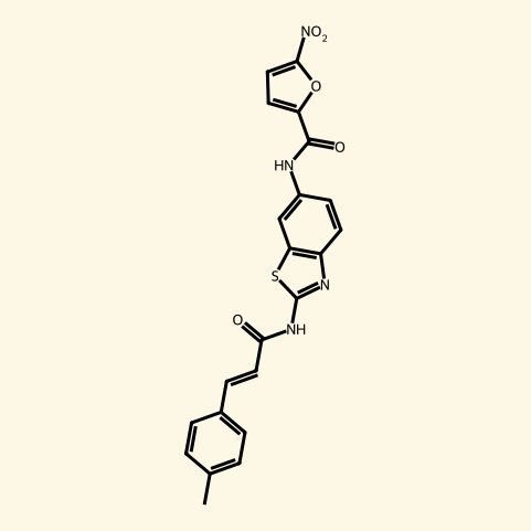 Cc1ccc(/C=C/C(=O)Nc2nc3ccc(NC(=O)c4ccc([N+](=O)[O-])o4)cc3s2)cc1